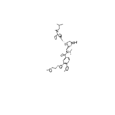 COCCCOc1cc(C(=O)N(C[C@@H]2CNC[C@H]2COC(=O)N(C)CC(C)C)C(C)C)ccc1OC